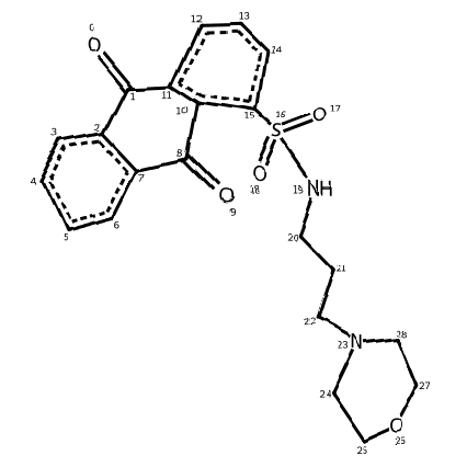 O=C1c2ccccc2C(=O)c2c1cccc2S(=O)(=O)NCCCN1CCOCC1